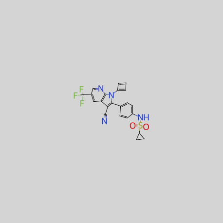 N#Cc1c(-c2ccc(NS(=O)(=O)C3CC3)cc2)n(C2=CC=C2)c2ncc(C(F)(F)F)cc12